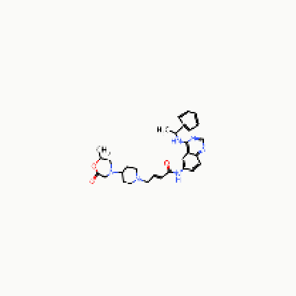 CC1CN(C2CCN(CC=CC(=O)Nc3ccc4ncnc(NC(C)c5ccccc5)c4c3)CC2)CC(=O)O1